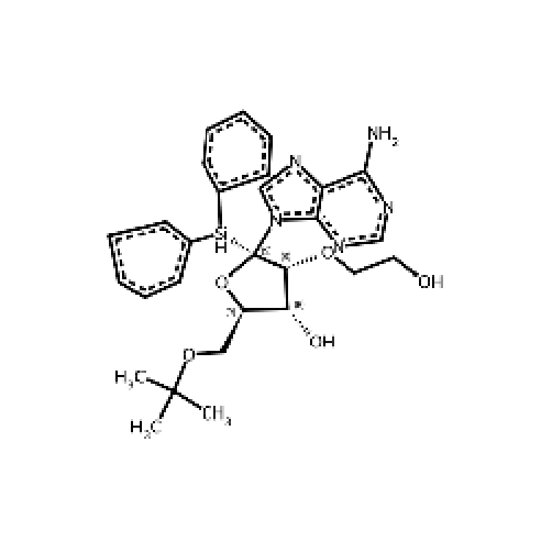 CC(C)(C)OC[C@H]1O[C@](n2cnc3c(N)ncnc32)([SiH](c2ccccc2)c2ccccc2)[C@H](OCCO)[C@@H]1O